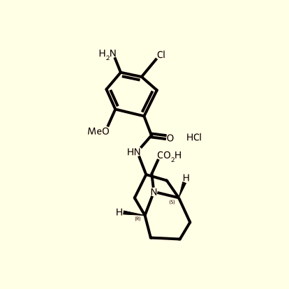 COc1cc(N)c(Cl)cc1C(=O)NC1C[C@H]2CCC[C@@H](C1)N2CC(=O)O.Cl